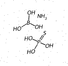 N.OB(O)O.OP(O)(O)=S